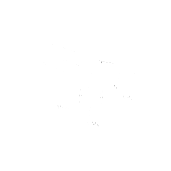 COc1cc2c(cc1OC)N(C)C(=O)CN=C2c1cc2cc(c1)OCO2